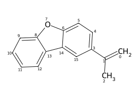 C=C(C)c1ccc2oc3ccccc3c2c1